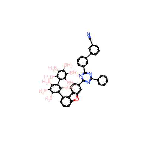 Bc1c(B)c(B)c(-c2c(B)c(B)c(B)c(-c3cccc4oc5cc(-c6nc(-c7ccccc7)nc(-c7cccc(-c8cccc(C#N)c8)c7)n6)ccc5c34)c2B)c(B)c1B